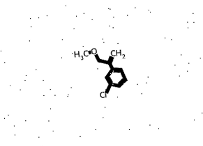 C=C(COC)c1cccc(Cl)c1